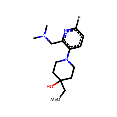 CCc1ccc(N2CCC(O)(COC)CC2)c(CN(C)C)n1